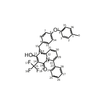 Cc1ccc(Oc2ccc(C[n+]3c(O)c(C(F)(F)F)c(=O)n4c(-c5ccccc5)cccc43)cc2)cc1